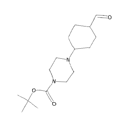 CC(C)(C)OC(=O)N1CCN(C2CCC(C=O)CC2)CC1